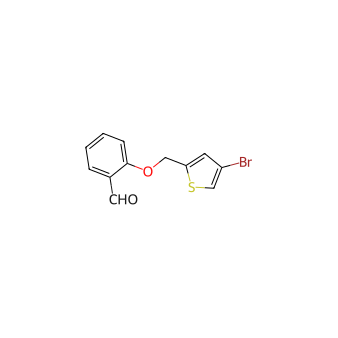 O=Cc1ccccc1OCc1cc(Br)cs1